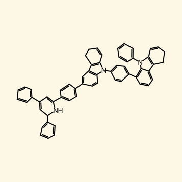 C1=Cc2c(c3cc(-c4ccc(C5=CC(c6ccccc6)=CC(c6ccccc6)N5)cc4)ccc3n2-c2ccc(-c3cccc4c5c(n(-c6ccccc6)c34)C=CCC5)cc2)CC1